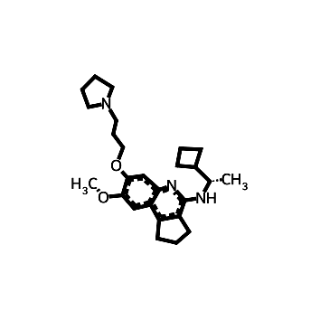 COc1cc2c3c(c(N[C@@H](C)C4CCC4)nc2cc1OCCCN1CCCC1)CCC3